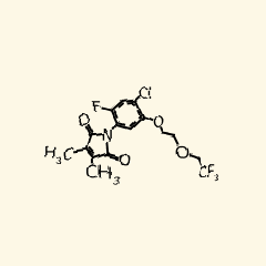 CC1=C(C)C(=O)N(c2cc(OCCOCC(F)(F)F)c(Cl)cc2F)C1=O